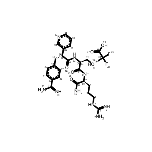 N=C(N)NCCC[C@H](NC(=O)[C@H](CO)NC(=O)[C@H](Cc1ccc(C(=N)N)cc1)c1cccnc1)C(N)=O.O=C(O)C(F)(F)F